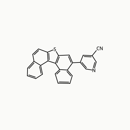 N#Cc1cncc(-c2cc3sc4ccc5ccccc5c4c3c3ccccc23)c1